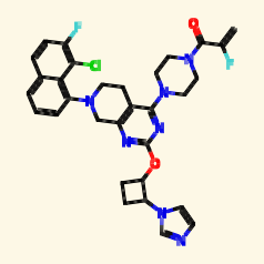 C=C(F)C(=O)N1CCN(c2nc(OC3CCC3n3ccnc3)nc3c2CCN(c2cccc4ccc(F)c(Cl)c24)C3)CC1